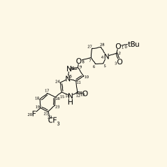 CC(C)(C)OC(=O)N1CCC(Oc2cc3c(=O)[nH]c(-c4ccc(F)c(C(F)(F)F)c4)cn3n2)CC1